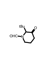 CC(C)(C)C1C(=O)CCCN1[C]=O